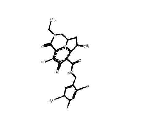 CCN1CC2CC(C)c3c(C(=O)NCC4=CC(C)C(F)C=C4F)c(=O)c(O)c(n32)C1=O